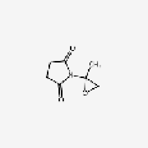 CC1(N2C(=O)CCC2=O)CO1